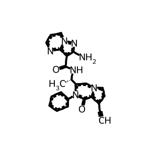 C#Cc1ccn2cc([C@H](C)NC(=O)c3c(N)nn4cccnc34)n(-c3ccccc3)c(=O)c12